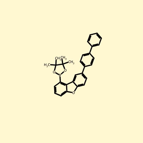 CC1(C)OB(c2cccc3oc4ccc(-c5ccc(-c6ccccc6)cc5)cc4c23)OC1(C)C